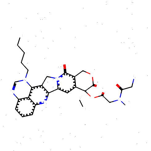 CCCCCN1C=Nc2cccc3nc4c(c1c23)Cn1c-4cc2c(c1=O)COC(=O)[C@@]2(CC)OC(=O)CN(C)C(=O)CN